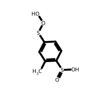 Cc1cc(SOO)ccc1S(=O)O